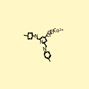 Cc1ccc(N=Cc2cc(C)cc(C=Nc3ccc(C)cc3)n2)cc1.[Cl-].[Cl-].[Cl-].[Co+3]